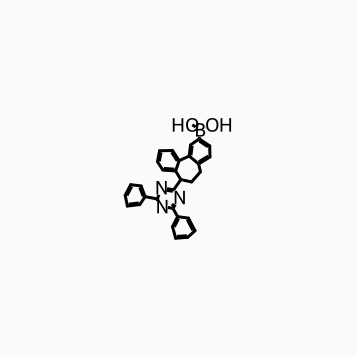 OB(O)c1ccc2c(c1)-c1ccccc1C(c1nc(-c3ccccc3)nc(-c3ccccc3)n1)CC2